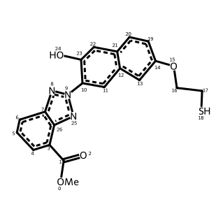 COC(=O)c1cccc2nn(-c3cc4cc(OCCS)ccc4cc3O)nc12